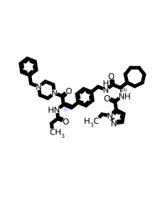 CCC(=O)N/C(=C/c1ccc(CNC(=O)[C@@H](NC(=O)c2ccnn2CC)C2CCCCCC2)cc1)C(=O)N1CCN(Cc2ccccc2)CC1